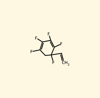 C=CC1(F)CC(F)=C(F)C(F)=C1F